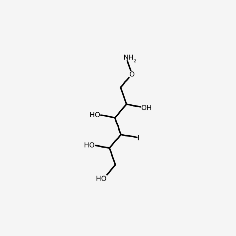 NOCC(O)C(O)C(I)C(O)CO